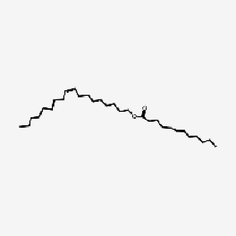 CCCCCCCC/C=C\CCCCCCCCOC(=O)CCCCCCCCCCC